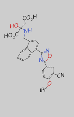 CC(C)Oc1ccc(-c2nc(-c3ccc(CNC(O)(CC(=O)O)C(=O)O)c4ccccc34)no2)cc1C#N